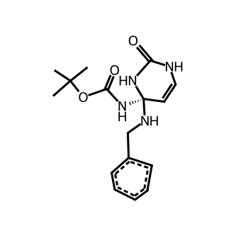 CC(C)(C)OC(=O)N[C@@]1(NCc2ccccc2)C=CNC(=O)N1